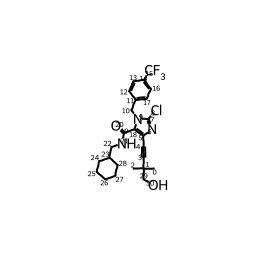 CC(C)(C#Cc1nc(Cl)n(Cc2ccc(C(F)(F)F)cc2)c1C(=O)NCC1CCCCC1)CO